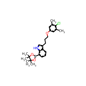 Cc1cc(OCCCc2c[nH]c3c(B4OC(C)(C)C(C)(C)O4)cccc23)cc(C)c1Cl